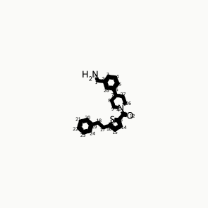 NCc1cccc(C2CCN(C(=O)c3ccc(CCc4ccccc4)s3)CC2)c1